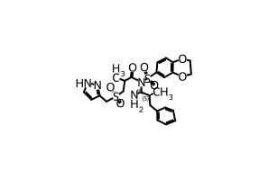 CC(CS(=O)(=O)Cc1cc[nH]n1)C(=O)N([C@H](N)[C@@H](C)Cc1ccccc1)S(=O)(=O)c1ccc2c(c1)OCCO2